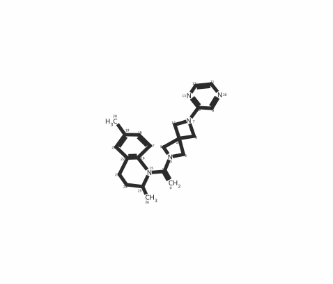 C=C(N1CC2(C1)CN(c1cnccn1)C2)N1c2ccc(C)cc2CCC1C